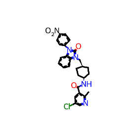 Cc1ncc(Cl)cc1C(=O)N[C@H]1CC[C@H](Cn2c(=O)n(-c3ccc([N+](=O)[O-])cc3)c3ccccc32)CC1